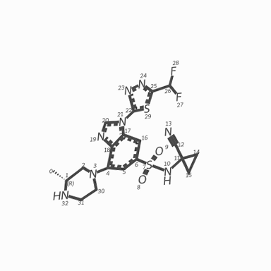 C[C@@H]1CN(c2cc(S(=O)(=O)NC3(C#N)CC3)cc3c2ncn3-c2nnc(C(F)F)s2)CCN1